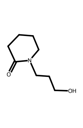 O=C1CCCCN1CCCO